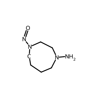 NN1CCCCN(N=O)CC1